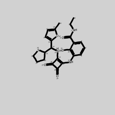 CCNC(=O)c1cccc(Nc2c(NC(c3ccc(C)o3)C3CCCS3)c(=O)c2=O)c1O